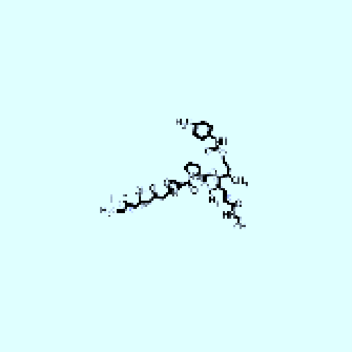 C=C/C(C)=C/[C@@H](O)CC(=O)Cc1nc(C(=O)N2CCC[C@@H]2C(=O)O[C@@H]([C@H](C)/C=C/C(=O)NCC)[C@H](C)CCOC(=O)Nc2ccc(C)cc2)co1